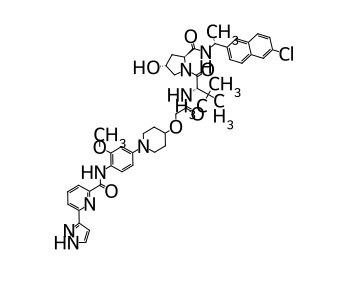 COc1cc(N2CCC(OCC(=O)N[C@H](C(=O)N3C[C@H](O)C[C@H]3C(=O)N[C@H](C)c3ccc4cc(Cl)ccc4c3)C(C)(C)C)CC2)ccc1NC(=O)c1cccc(-c2cc[nH]n2)n1